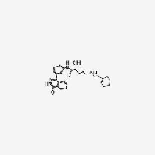 Cl.O=C(CCCCNCCC1=CCCCC1)Nc1cccc(-c2n[nH]c(=O)c3ccccc23)c1